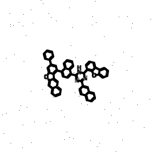 c1ccc(-c2cc(-c3ccc(C4=NC(c5ccc6ccccc6c5)=NC(c5cccc6c5oc5ccccc56)N4)c4ccccc34)c3c(c2)oc2cc4ccccc4cc23)cc1